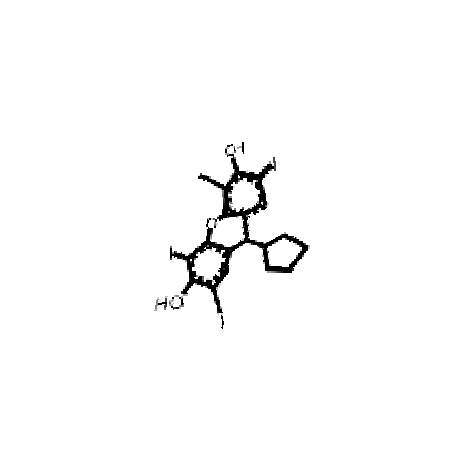 Cc1c(O)c(I)cc2c1Oc1c(cc(I)c(O)c1I)C2C1CCCC1